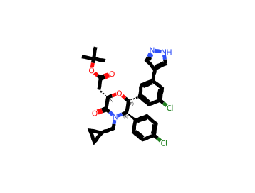 CC(C)(C)OC(=O)C[C@@H]1O[C@H](c2cc(Cl)cc(-c3cn[nH]c3)c2)[C@@H](c2ccc(Cl)cc2)N(CC2CC2)C1=O